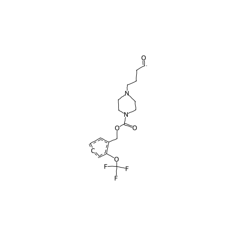 O=[C]CCCN1CCN(C(=O)OCc2ccccc2OC(F)(F)F)CC1